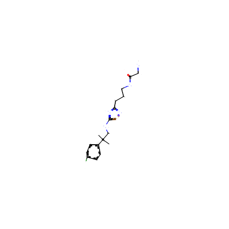 CC(C)(CNc1nc(CCCNC(=O)CN)ns1)c1ccc(F)cc1